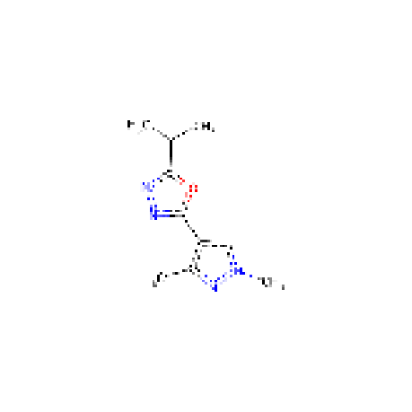 Cc1nn(C)cc1-c1nnc(C(C)C)o1